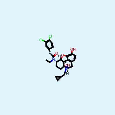 CCN(C(=O)Cc1ccc(Cl)c(Cl)c1)[C@H]1CC[C@@]2(O)[C@H]3Cc4ccc(O)c5c4[C@@]2(CCN3CC2CC2)[C@H]1O5